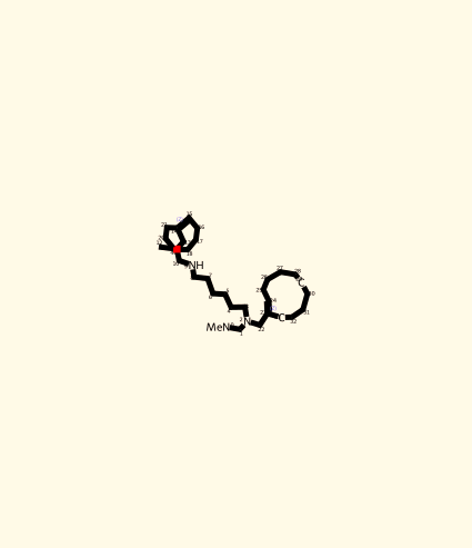 CNCN(CCCCCCNCC(C)C/C1=C\CCCCCC1)C/C1=C\CCCCCCCCC1